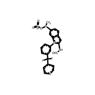 CN(O[SH](=O)=O)c1ccc2cc(NC=O)n(-c3cccc(C(F)(F)c4ccncc4)c3)c2c1